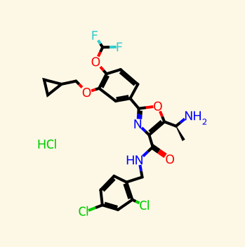 C[C@H](N)c1oc(-c2ccc(OC(F)F)c(OCC3CC3)c2)nc1C(=O)NCc1ccc(Cl)cc1Cl.Cl